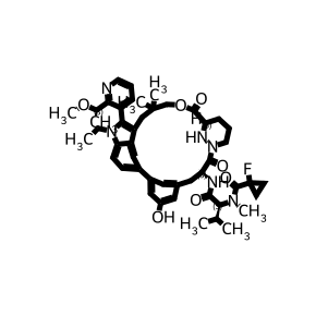 CCn1c(-c2cccnc2[C@H](C)OC)c2c3cc(ccc31)-c1cc(O)cc(c1)C[C@H](NC(=O)[C@H](C(C)C)N(C)C(=O)C1(F)CC1)C(=O)N1CCC[C@H](N1)C(=O)OCC(C)(C)C2